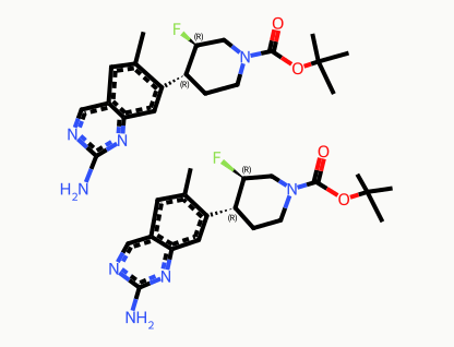 Cc1cc2cnc(N)nc2cc1[C@H]1CCN(C(=O)OC(C)(C)C)C[C@@H]1F.Cc1cc2cnc(N)nc2cc1[C@H]1CCN(C(=O)OC(C)(C)C)C[C@@H]1F